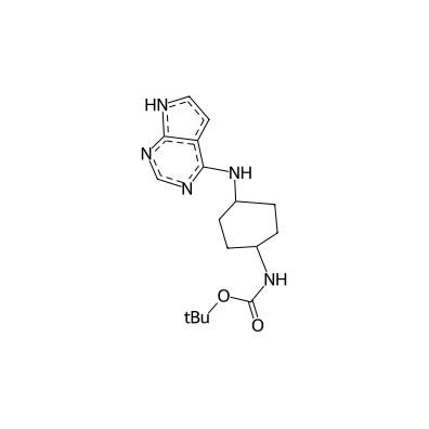 CC(C)(C)OC(=O)NC1CCC(Nc2ncnc3[nH]ccc23)CC1